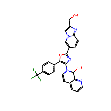 OCc1cn2cc(-c3nc(N4C=Cc5cccnc5C4O)c(-c4ccc(C(F)(F)F)cc4)o3)ccc2n1